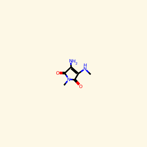 CNC1=C(N)C(=O)N(C)C1=O